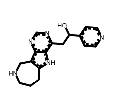 OC(Cc1ncnc2c3c([nH]c12)CCCNC3)c1ccncc1